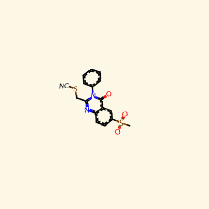 CS(=O)(=O)c1ccc2nc(CSC#N)n(-c3ccccc3)c(=O)c2c1